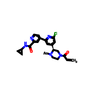 C=CC(=O)N1CCN(C(C)=O)[C@H](c2cc(Cl)nc(-c3ccnc(C(=O)NC4CC4)c3)c2)C1